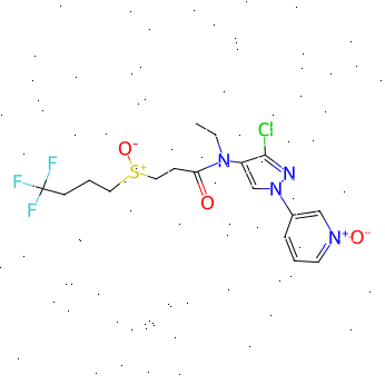 CCN(C(=O)CC[S+]([O-])CCCC(F)(F)F)c1cn(-c2ccc[n+]([O-])c2)nc1Cl